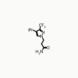 CC(C)c1cn(CCC(N)=O)nc1C(F)(F)F